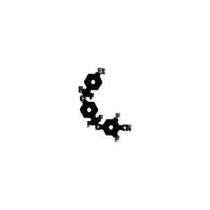 CCc1ccc(C(F)(F)Oc2ccc(C(F)(F)Oc3cc(F)c(C#N)c(F)c3)cc2)cc1